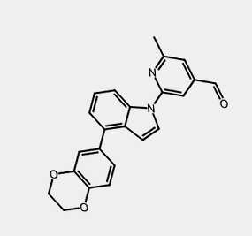 Cc1cc(C=O)cc(-n2ccc3c(-c4ccc5c(c4)OCCO5)cccc32)n1